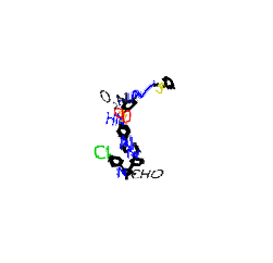 Cc1c(C=O)c(-c2cccc(N3CCN(c4ccc(NS(=O)(=O)c5ccc(NCCSc6ccccc6)c([N+](=O)[O-])c5)cc4)CC3)c2)c(-c2ccc(Cl)cc2)n1C